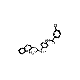 Cl.NC1(Cc2ccc3ccccc3c2)CC1c1ccc(NC(=O)c2cccc(Cl)c2)cc1